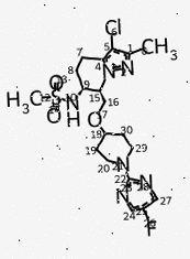 Cc1nn2c(c1Cl)CC[C@H](NS(C)(=O)=O)[C@@H]2COC1CCN(c2ncc(F)cn2)CC1